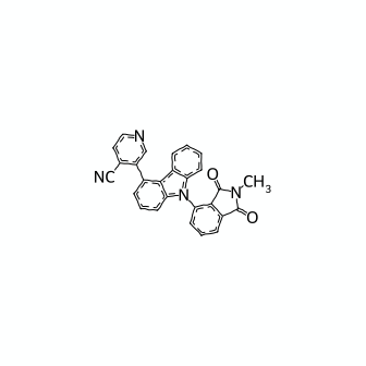 CN1C(=O)c2cccc(-n3c4ccccc4c4c(-c5cnccc5C#N)cccc43)c2C1=O